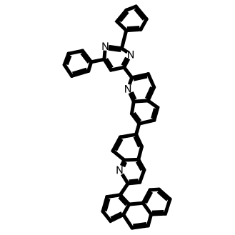 c1ccc(-c2cc(-c3ccc4ccc(-c5ccc6nc(-c7cccc8ccc9ccccc9c78)ccc6c5)cc4n3)nc(-c3ccccc3)n2)cc1